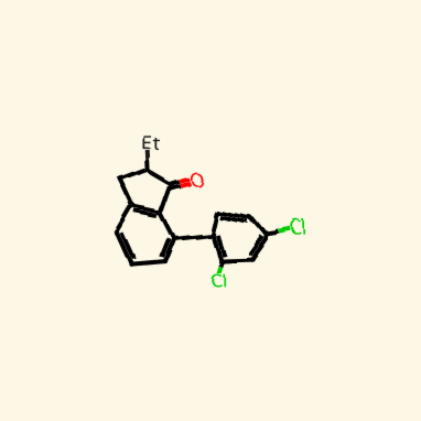 CCC1Cc2cccc(-c3ccc(Cl)cc3Cl)c2C1=O